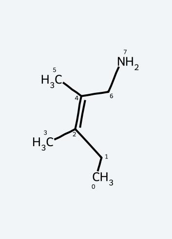 CC/C(C)=C(/C)CN